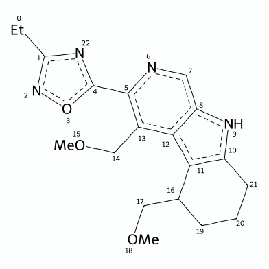 CCc1noc(-c2ncc3[nH]c4c(c3c2COC)C(COC)CCC4)n1